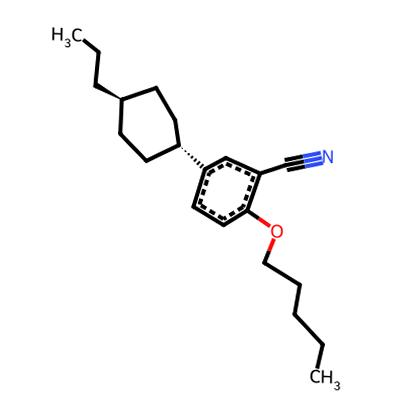 CCCCCOc1ccc([C@H]2CC[C@H](CCC)CC2)cc1C#N